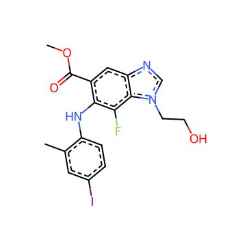 COC(=O)c1cc2ncn(CCO)c2c(F)c1Nc1ccc(I)cc1C